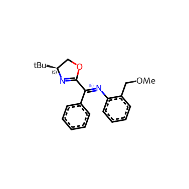 COCc1ccccc1/N=C(/C1=N[C@@H](C(C)(C)C)CO1)c1ccccc1